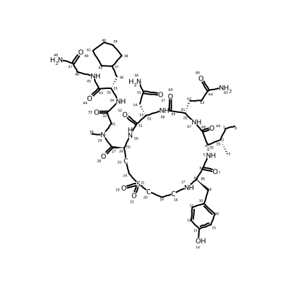 CC[C@H](C)[C@@H]1NC(=O)[C@@H](Cc2ccc(O)cc2)NCCCS(=O)(=O)CC[C@@H](C(=O)N(C)CC(=O)N[C@@H](CC2CCCCC2)C(=O)NCC(N)=O)NC(=O)[C@H](CC(N)=O)NC(=O)[C@H](CCC(N)=O)NC1=O